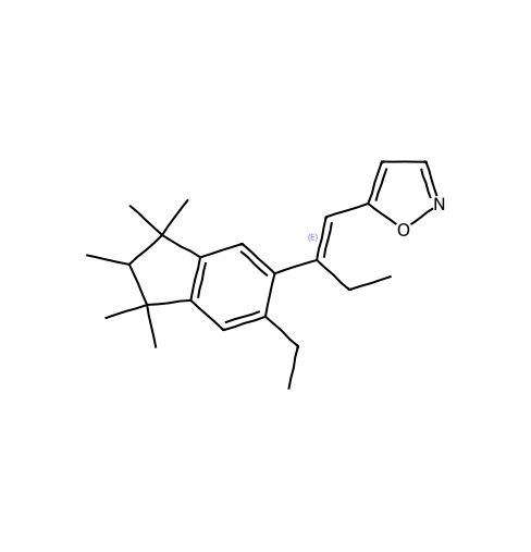 CC/C(=C\c1ccno1)c1cc2c(cc1CC)C(C)(C)C(C)C2(C)C